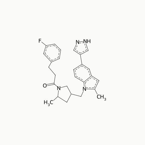 Cc1cc2cc(-c3cn[nH]c3)ccc2n1CC1CC(C)N(C(=O)CCc2cccc(F)c2)C1